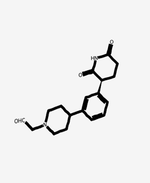 O=CCN1CCC(c2cccc([C@@H]3CCC(=O)NC3=O)c2)CC1